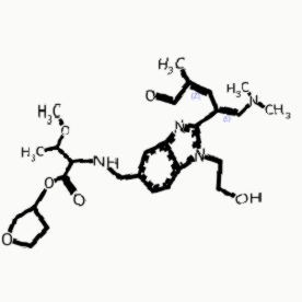 COC(C)C(NCc1ccc2c(c1)nc(C(/C=C(/C)C=O)=C/N(C)C)n2CCO)C(=O)OC1CCOC1